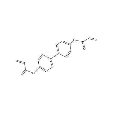 C=CC(=C)Oc1ccc(-c2ccc(OC(=O)C=C)cc2)cc1